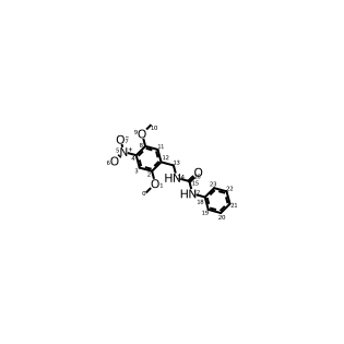 COc1cc([N+](=O)[O-])c(OC)cc1CNC(=O)Nc1ccccc1